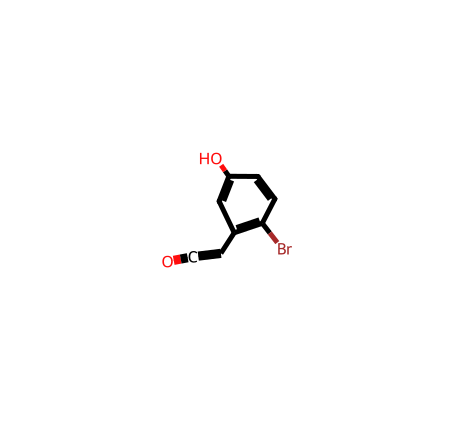 O=C=Cc1cc(O)ccc1Br